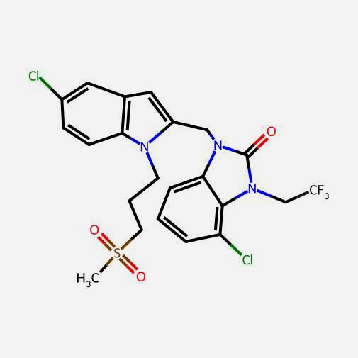 CS(=O)(=O)CCCn1c(Cn2c(=O)n(CC(F)(F)F)c3c(Cl)cccc32)cc2cc(Cl)ccc21